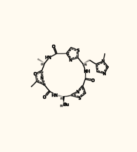 CC[C@H](C)[C@@H]1NC(=O)c2nc(oc2C)[C@H](C)NC(=O)c2csc(n2)[C@H](Cc2cncn2C)NC(=O)c2csc1n2